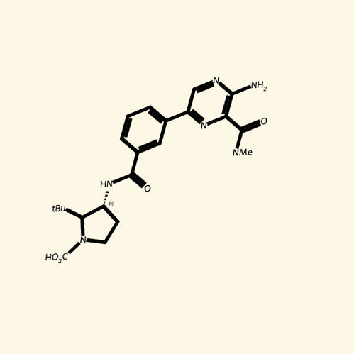 CNC(=O)c1nc(-c2cccc(C(=O)N[C@@H]3CCN(C(=O)O)C3C(C)(C)C)c2)cnc1N